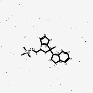 CC(CCCO[Si](C)(C)C)(C1=CC=CC1)C1CCC2C=CC=CC21